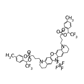 Cc1ccc(C(OS(=O)(=O)CCCN2CCCc3cc4c(cc32)Oc2cc3c(cc2=N4)CCC[N+]=3CCCS(=O)(=O)OC(c2ccc(C)cc2)C(F)(F)F)C(F)(F)F)cc1.F[B-](F)(F)F